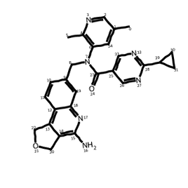 Cc1cnc(C)c(N(Cc2ccc3c4c(c(N)nc3c2)COC4)C(=O)c2cnc(C3CC3)nc2)c1